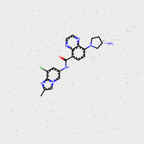 Cc1cn2cc(NC(=O)c3ccc(N4CC[C@H](N)C4)c4nccnc34)cc(F)c2n1